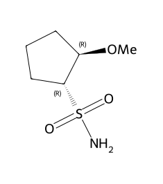 CO[C@@H]1CCC[C@H]1S(N)(=O)=O